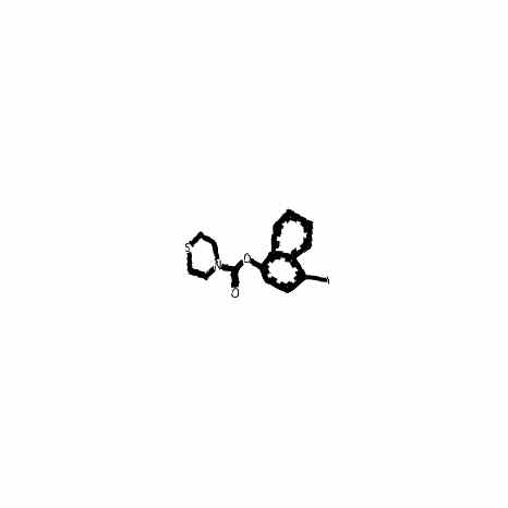 O=C(Oc1ccc(I)c2ccccc12)N1CCSCC1